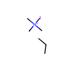 C[N+](C)(C)I.[CH2]CC